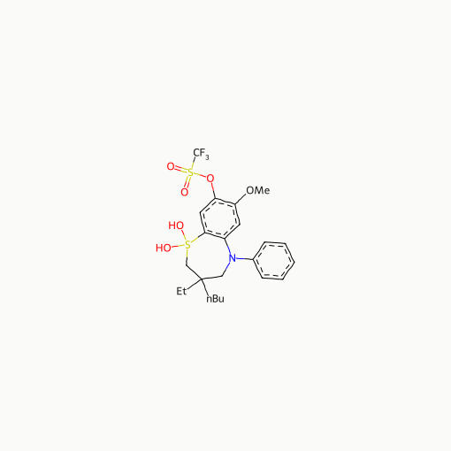 CCCCC1(CC)CN(c2ccccc2)c2cc(OC)c(OS(=O)(=O)C(F)(F)F)cc2S(O)(O)C1